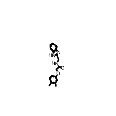 Cc1ccc(OCC(=O)NCc2nc3ccccc3[nH]2)cc1C